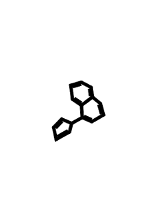 [C]1=CC=CC1c1cccc2ccccc12